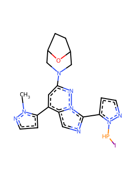 Cn1nccc1-c1cc(N2CC3CCC(C2)O3)nn2c(-c3ccnn3PI)ncc12